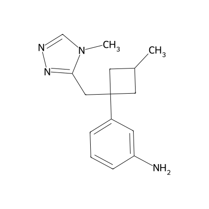 CC1CC(Cc2nncn2C)(c2cccc(N)c2)C1